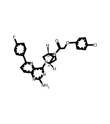 Nc1nc(N2C[C@H]3C[C@@H]2CN3C(=O)COc2ccc(Cl)cc2)c2nc(-c3ccc(F)cc3)ccc2n1